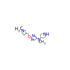 CN1CCC(COc2ncc(N(C)C3CCNCC3)cn2)C1